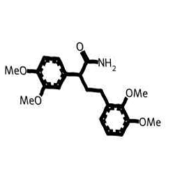 COc1ccc(C(CCc2cccc(OC)c2OC)C(N)=O)cc1OC